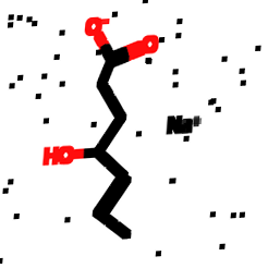 CC=CC(O)CCC(=O)[O-].[Na+]